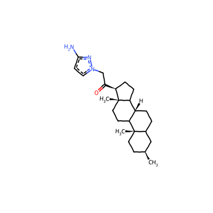 C[C@H]1CC[C@@]2(C)C(CC[C@@H]3C2CC[C@@]2(C)C3CC[C@@H]2C(=O)Cn2ccc(N)n2)C1